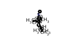 CC(C)=CCn1c(N2CCCC(NC(=O)OC(C)(C)C)C2)nc2c1c(=O)n(C/C=C/c1ccccc1)c(=O)n2C